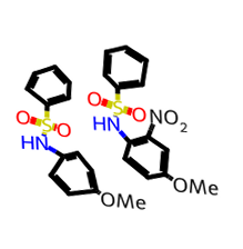 COc1ccc(NS(=O)(=O)c2ccccc2)c([N+](=O)[O-])c1.COc1ccc(NS(=O)(=O)c2ccccc2)cc1